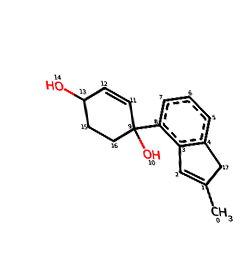 CC1=Cc2c(cccc2C2(O)C=CC(O)CC2)C1